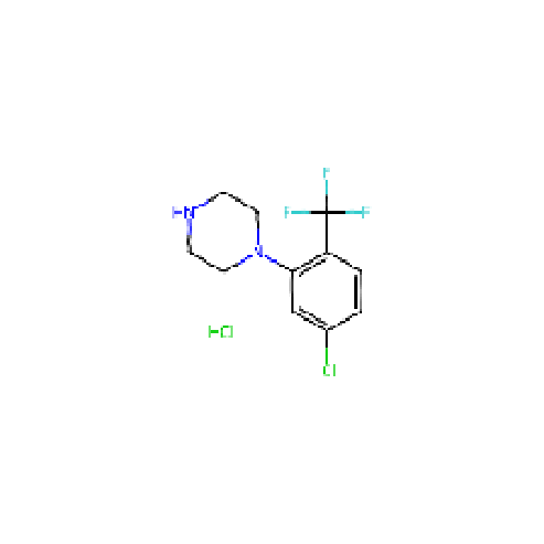 Cl.FC(F)(F)c1ccc(Cl)cc1N1CCNCC1